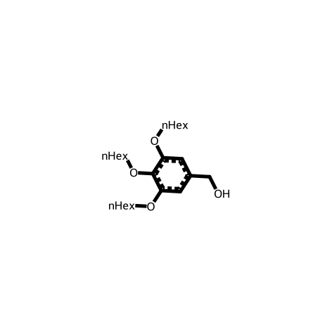 CCCCCCOc1cc(CO)cc(OCCCCCC)c1OCCCCCC